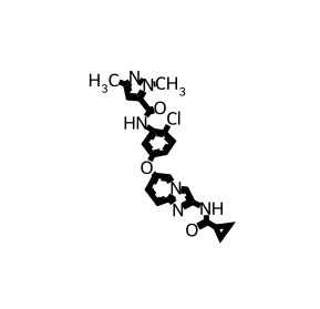 Cc1cc(C(=O)Nc2cc(Oc3ccc4nc(NC(=O)C5CC5)cn4c3)ccc2Cl)n(C)n1